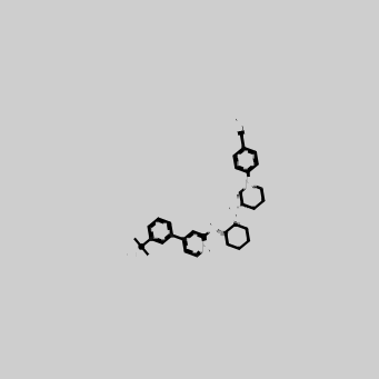 CC(C)(O)c1cccc(-c2ccnc(N[C@@H]3CCCC[C@H]3N[C@H]3CCCN(c4ccc(C#N)cc4)C3)c2)c1